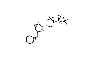 CC(C)(C)OC(=O)N1CCC(C2=NOCC(CN3CCCCC3)O2)CC1(C)C